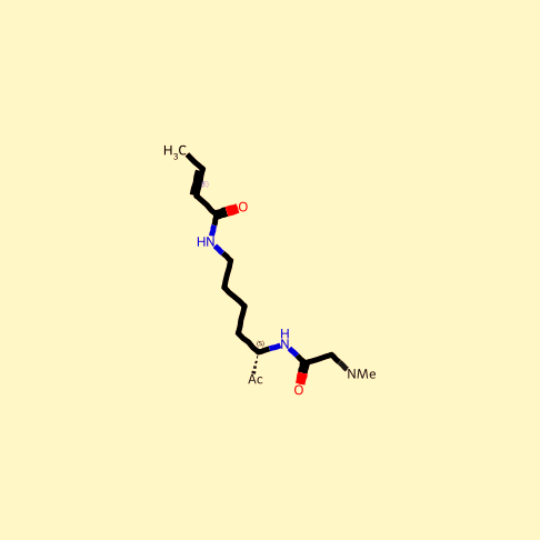 C/C=C/C(=O)NCCCC[C@H](NC(=O)CNC)C(C)=O